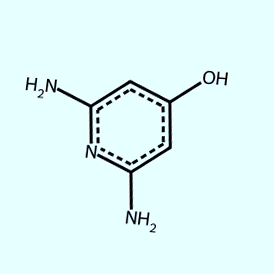 Nc1cc(O)cc(N)n1